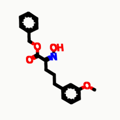 COc1cccc(CCCC(=NO)C(=O)OCc2ccccc2)c1